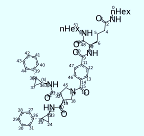 CCCCCCNC(=O)CCC[C@@H](NC(=O)c1ccc(C(=O)N2C[C@@H](C(=O)N[C@H]3C[C@@H]3c3ccccc3)[C@H](C(=O)N[C@H]3C[C@@H]3c3ccccc3)C2)cc1)C(=O)NCCCCCC